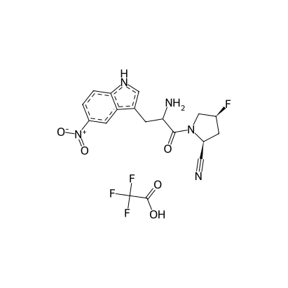 N#C[C@@H]1C[C@H](F)CN1C(=O)C(N)Cc1c[nH]c2ccc([N+](=O)[O-])cc12.O=C(O)C(F)(F)F